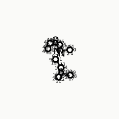 c1ccc(-c2nc(-c3cccc(-c4ccc5c(c4)c4ccccc4n5-c4ccccc4)c3)nc3c2ccc2oc4ccc5ccccc5c4c23)cc1